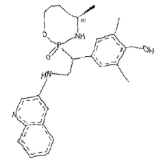 Cc1cc(C(CNc2cnc3ccccc3c2)P2(=O)N[C@H](C)CCO2)cc(C)c1O